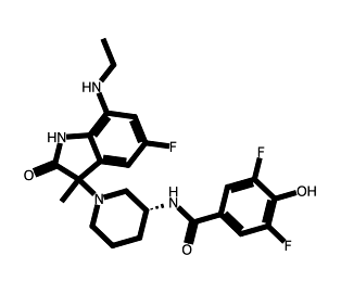 CCNc1cc(F)cc2c1NC(=O)C2(C)N1CCC[C@@H](NC(=O)c2cc(F)c(O)c(F)c2)C1